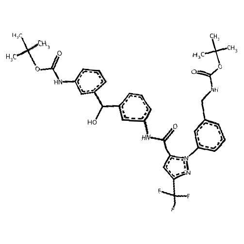 CC(C)(C)OC(=O)NCc1cccc(-n2nc(C(F)(F)F)cc2C(=O)Nc2cccc(C(O)c3cccc(NC(=O)OC(C)(C)C)c3)c2)c1